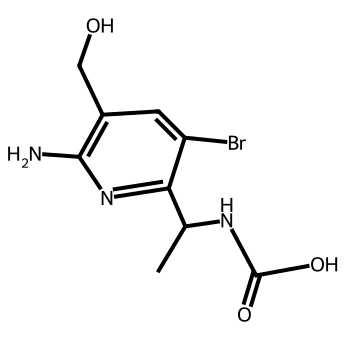 CC(NC(=O)O)c1nc(N)c(CO)cc1Br